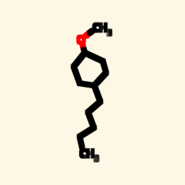 CCCCCC1CCC(OC)CC1